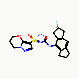 N[S@](=O)(=NC(=O)Nc1c2c(cc3c1C[C@@H](F)C3)CCC2)c1cnn2c1OCCC2